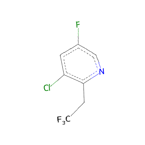 Fc1cnc(CC(F)(F)F)c(Cl)c1